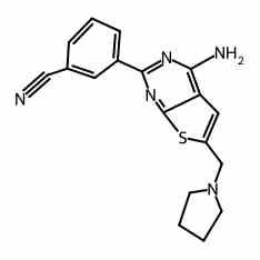 N#Cc1cccc(-c2nc(N)c3cc(CN4CCCC4)sc3n2)c1